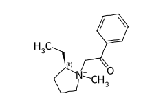 CC[C@@H]1CCC[N+]1(C)CC(=O)c1ccccc1